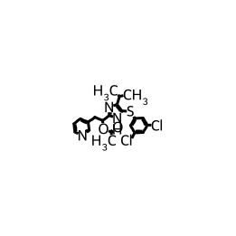 CC(=O)OC(Cc1cccnc1)c1nc(C(C)C)c(Sc2cc(Cl)cc(Cl)c2)[nH]1